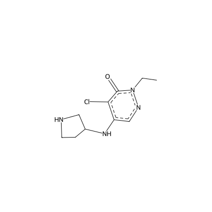 CCn1ncc(NC2CCNC2)c(Cl)c1=O